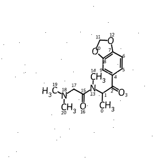 CC(C(=O)c1ccc2c(c1)OCO2)N(C)C(=O)CN(C)C